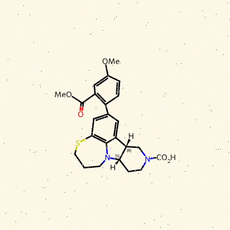 COC(=O)c1cc(OC)ccc1-c1cc2c3c(c1)[C@@H]1CN(C(=O)O)CC[C@@H]1N3CCCS2